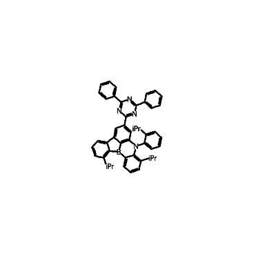 CC(C)c1ccccc1N1c2cc(-c3nc(-c4ccccc4)nc(-c4ccccc4)n3)cc3c2B(c2cccc(C(C)C)c21)c1c-3cccc1C(C)C